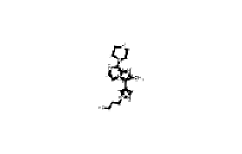 Cc1nc2c(N3CCOCC3)nccn2c1-c1cnn(CCCF)c1